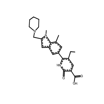 CCc1cc(C(=O)O)c(=O)[nH]c1-c1cc(C)c2c(c1)cc(CN1CCCCC1)n2C